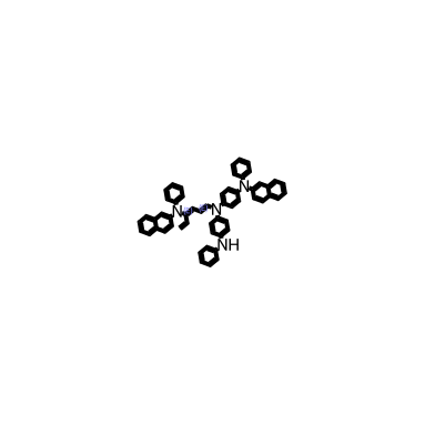 C=C/C(=C\C=C\N(c1ccc(Nc2ccccc2)cc1)c1ccc(N(c2ccccc2)c2ccc3ccccc3c2)cc1)N(c1ccccc1)c1ccc2ccccc2c1